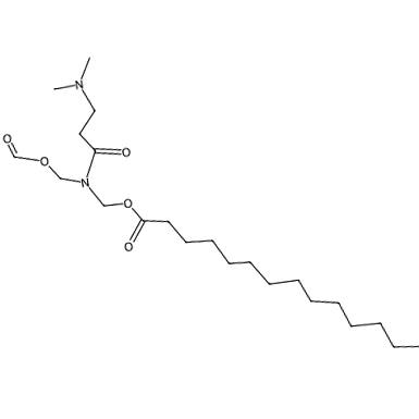 CCCCCCCCCCCCCC(=O)OCN(COC=O)C(=O)CCN(C)C